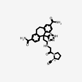 N#C[C@@H]1CCCN1C(=O)CNCCC1(c2nn[nH]n2)c2ccc(C(N)=O)cc2CCc2cc(C(N)=O)ccc21